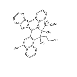 C=C(OC)C1(C)[n+]2c(c3sc4ccccc4c3c3ccccc32)-c2cc(C(C)(C)C)c3ccccc3c2C1(C)CCO